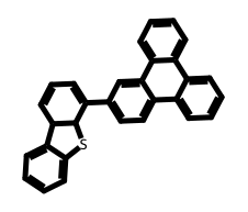 C1=CC2c3ccccc3SC2C(c2ccc3c4ccccc4c4ccccc4c3c2)=C1